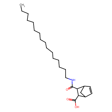 CCCCCCCCCCCCCCCCNC(=O)C1C2C=CC(C2)C1C(=O)O